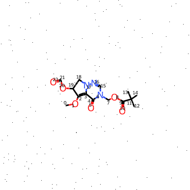 COC1=C2C(=O)N(COC(=O)C(C)(C)C)C=NN2CC1OC=O